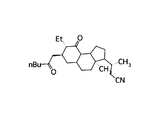 CCCCC(=O)C[C@@H]1CC2CC[C@@]3(C)C(CCC3[C@H](C)CC#N)C2C(=O)[C@H]1CC